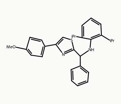 COc1ccc(-c2csc(C(Nc3c(C(C)C)cccc3C(C)C)c3ccccc3)n2)cc1